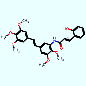 COc1cc(C=Cc2cc(OC)c(OC)c(OC)c2)cc(NC(=O)/C=C/c2ccccc2O)c1OC